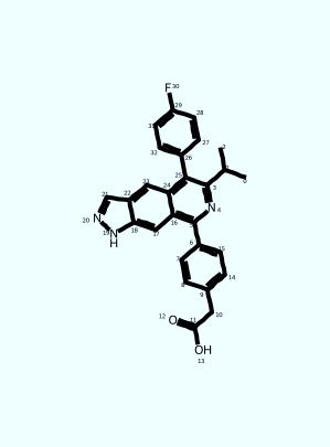 CC(C)c1nc(-c2ccc(CC(=O)O)cc2)c2cc3[nH]ncc3cc2c1-c1ccc(F)cc1